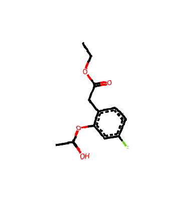 CCOC(=O)Cc1ccc(F)cc1OC(C)O